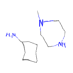 CN1CCNCC1.NC1CCC1